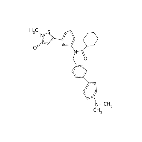 CN(C)c1ccc(-c2ccc(CN(C(=O)C3CCCCC3)c3cccc(-c4cc(=O)n(C)s4)c3)cc2)cc1